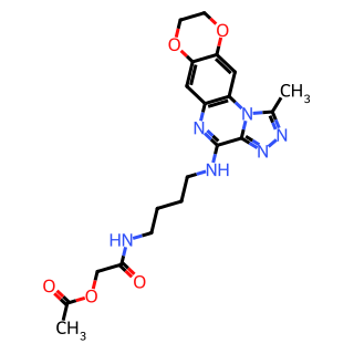 CC(=O)OCC(=O)NCCCCNc1nc2cc3c(cc2n2c(C)nnc12)OCCO3